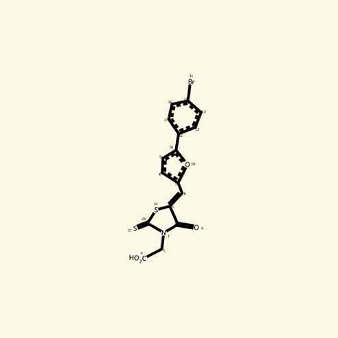 O=C(O)CN1C(=O)C(=Cc2ccc(-c3ccc(Br)cc3)o2)SC1=S